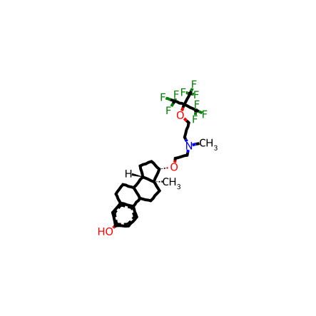 CN(CCO[C@H]1CC[C@H]2C3CCc4cc(O)ccc4C3CC[C@]12C)CCOC(C(F)(F)F)(C(F)(F)F)C(F)(F)F